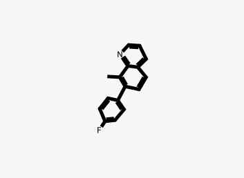 Cc1c(-c2ccc(F)cc2)ccc2cccnc12